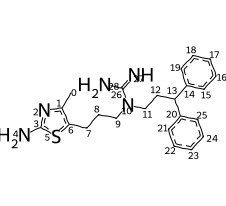 Cc1nc(N)sc1CCCN(CCC(c1ccccc1)c1ccccc1)C(=N)N